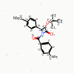 CC[Si](CC)(CC)O[C@H]1C(=O)N(C(=O)c2ccc(OC)cc2)[C@H]1c1ccc(OC)cc1